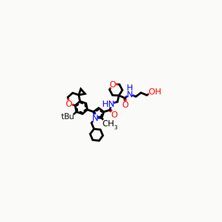 Cc1c(C(=O)NCC2(C(=O)NCCCO)CCOCC2)cc(-c2cc(C(C)(C)C)c3c(c2)C2(CCO3)CC2)n1CC1CCCCC1